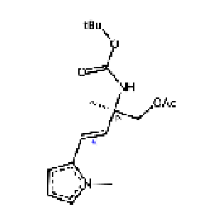 CC(=O)OC[C@@](C)(/C=C/c1cccn1C)NC(=O)OC(C)(C)C